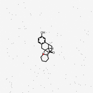 CN1CC[C@]2(C)c3cc(O)ccc3C[C@@H]1[C@H]2C(=O)N1CCCCC1